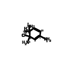 NC1=CC(N)(Cl)C(N)(N)C=C1